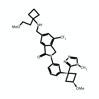 COCCC1(NCc2cc3c(c(C(F)(F)F)c2)CN(c2cccc([C@]4(c5nncn5C)C[C@H](OC)C4)c2)C3=O)CCC1